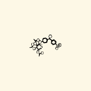 CC(=O)O[C@@H]1[C@@H](OC(C)=O)[C@@H](Oc2ccc(C(=O)c3ccc([N+](=O)[O-])cc3)cc2)SC[C@H]1OC(C)=O